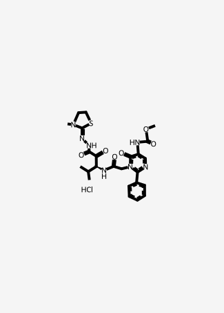 COC(=O)Nc1cnc(-c2ccccc2)n(CC(=O)N[C@H](C(=O)C(=O)N/N=C2\SCCN2C)C(C)C)c1=O.Cl